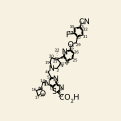 C[C@@H]1CN(Cc2nc3nc(C(=O)O)sc3n2C[C@@H]2CCO2)CC[C@@]1(C)c1cccc(OCc2ccc(C#N)cc2F)n1